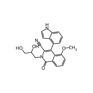 COc1cccc2c(=O)n(CC(O)CO)c(C#N)c(-c3cccc4[nH]ccc34)c12